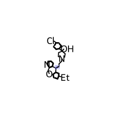 CCc1ccc2c(c1)/C(=C/CCN1CCC(O)(c3ccc(Cl)cc3)CC1)c1cccnc1CO2